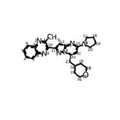 Cc1nc2ccccc2nc1-c1cc2nc(N3CCCC3)cc(CC3CCOCC3)n2n1